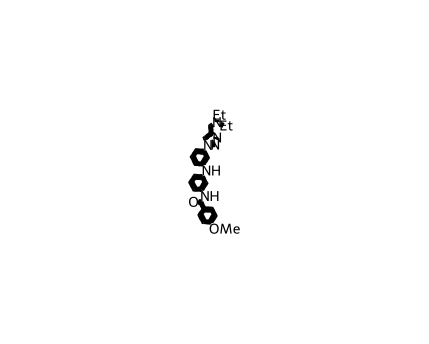 CCN(CC)CC1CN(c2cccc(Nc3cccc(NC(=O)c4ccc(OC)cc4)c3)c2)N=N1